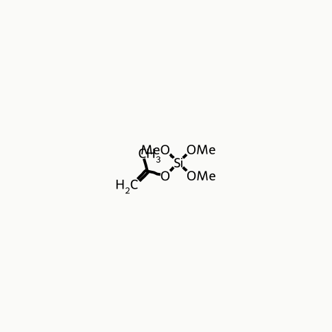 C=C(C)O[Si](OC)(OC)OC